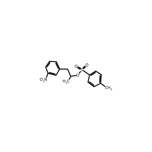 Cc1ccc(S(=O)(=O)OC(C)Cc2cccc([N+](=O)[O-])c2)cc1